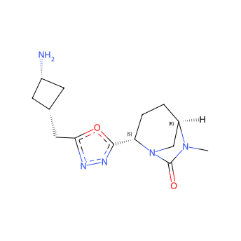 CN1C(=O)N2C[C@H]1CC[C@H]2c1nnc(C[C@H]2C[C@@H](N)C2)o1